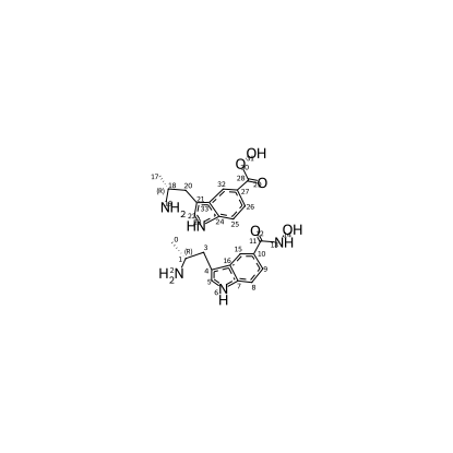 C[C@@H](N)Cc1c[nH]c2ccc(C(=O)NO)cc12.C[C@@H](N)Cc1c[nH]c2ccc(C(=O)OO)cc12